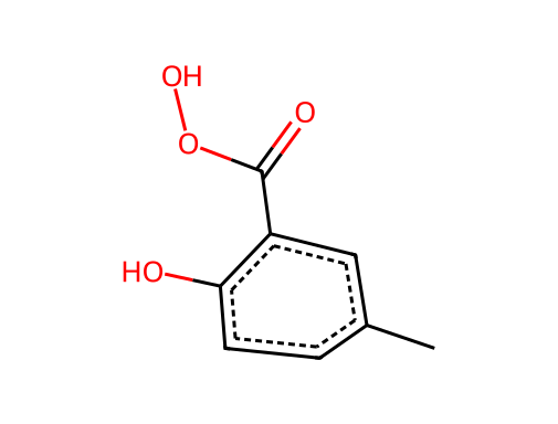 Cc1ccc(O)c(C(=O)OO)c1